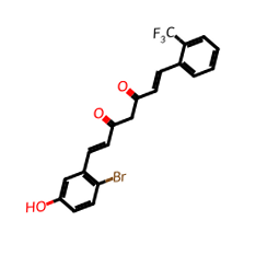 O=C(C=Cc1cc(O)ccc1Br)CC(=O)C=Cc1ccccc1C(F)(F)F